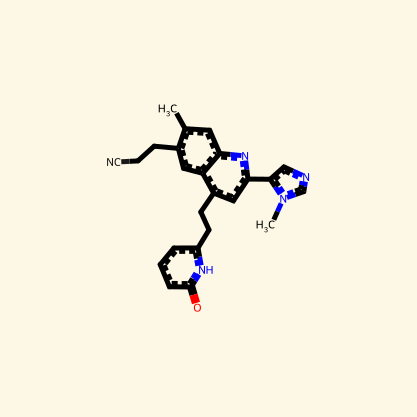 Cc1cc2nc(-c3cncn3C)cc(CCc3cccc(=O)[nH]3)c2cc1CCC#N